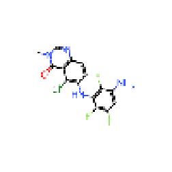 Cn1cnc2ccc(Nc3c(F)c(N)cc(F)c3F)c(Cl)c2c1=O